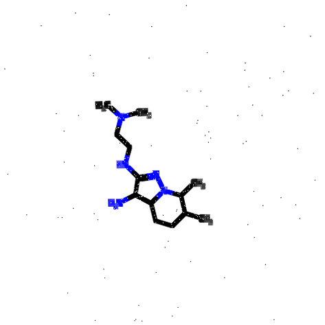 CC1CCC2C(N)C(NCCN(C)C)=NN2C1C